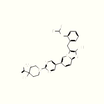 COC(=O)C1(C(C)C)CCN(c2ncc(-c3ccc4nc(C)c(Cc5ccccc5OC(F)F)n4c3)cn2)CC1